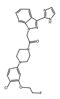 O=C(Cn1nc(-c2ncc[nH]2)c2cccnc21)N1CCN(c2ccc(Cl)c(OCCF)c2)CC1